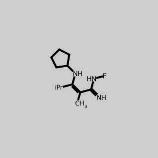 C/C(C(=N)NF)=C(/NC1CCCC1)C(C)C